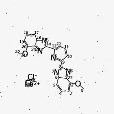 COC1=CC=CC2N=C(c3cccc(C4=NC5C=CC=C(OC)C5=N4)n3)N=C12.[Cl-].[Cl-].[Fe+2]